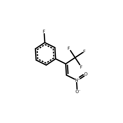 O=[N+]([O-])C=C(c1cccc(F)c1)C(F)(F)F